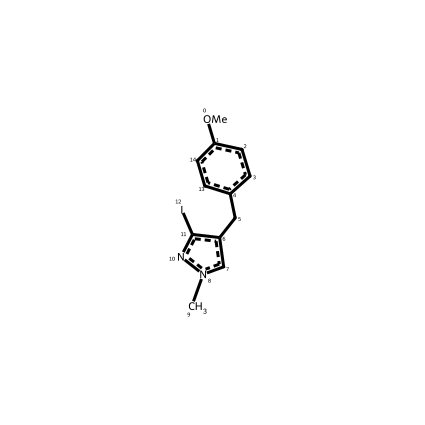 COc1ccc(Cc2cn(C)nc2I)cc1